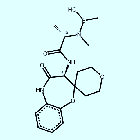 CB(O)N(C)[C@@H](C)C(=O)N[C@@H]1C(=O)Nc2ccccc2OC12CCOCC2